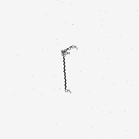 CCCCCCCCCCCCCCCCCCCCOOP(=O)(O)OCCOCC